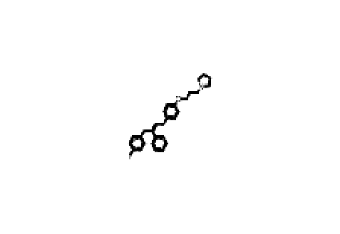 Ic1ccc(C/C(=C/Cc2ccc(OCCCN3CCCC3)cc2)c2ccccc2)cc1